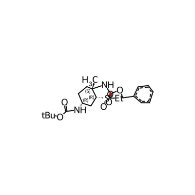 CCS(=O)(=O)[C@@H]1C[C@H](NC(=O)OC(C)(C)C)CC[C@]1(C)NC(=O)OCc1ccccc1